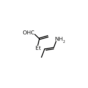 C/C=C/N.C=C(C=O)CC